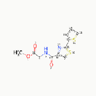 COC(=O)CNC(=O)c1[c]sc(-c2cccs2)n1